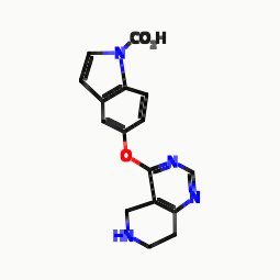 O=C(O)n1ccc2cc(Oc3ncnc4c3CNCC4)ccc21